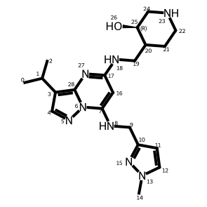 CC(C)c1cnn2c(NCc3ccn(C)n3)cc(NCC3CCNC[C@@H]3O)nc12